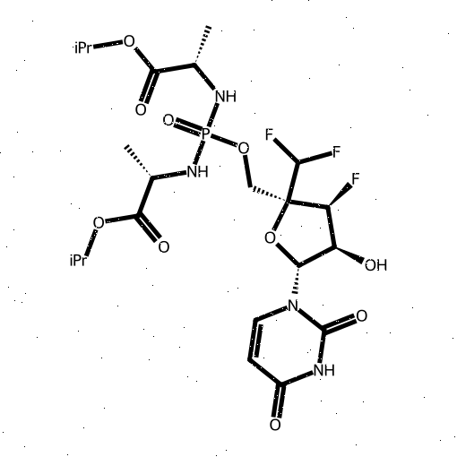 CC(C)OC(=O)[C@H](C)NP(=O)(N[C@@H](C)C(=O)OC(C)C)OC[C@@]1(C(F)F)O[C@@H](n2ccc(=O)[nH]c2=O)[C@H](O)[C@@H]1F